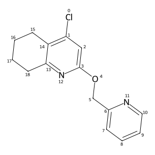 Clc1cc(OCc2ccccn2)nc2c1CCCC2